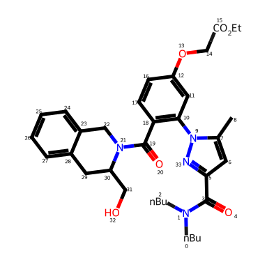 CCCCN(CCCC)C(=O)c1cc(C)n(-c2cc(OCC(=O)OCC)ccc2C(=O)N2Cc3ccccc3CC2CO)n1